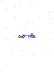 c1ccc(CN2CCN(CCCCCCc3cccc4c3[nH]c3ccccc34)CC2)cc1